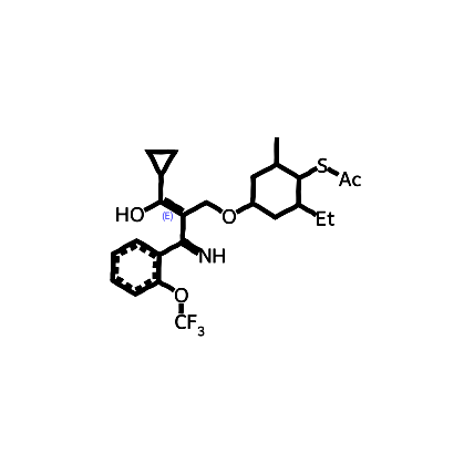 CCC1CC(OC/C(C(=N)c2ccccc2OC(F)(F)F)=C(/O)C2CC2)CC(C)C1SC(C)=O